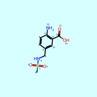 CS(=O)(=O)NCc1ccc(N)c(C(=O)O)c1